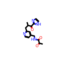 CC(=O)C(=O)NCc1ccnc(CC(C)C(=O)c2ncc[nH]2)c1